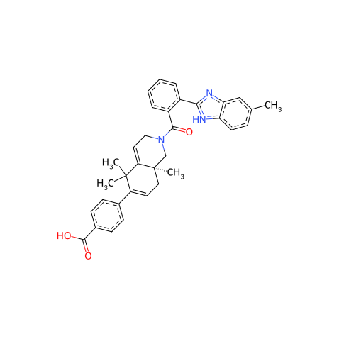 Cc1ccc2[nH]c(-c3ccccc3C(=O)N3CC=C4C(C)(C)C(c5ccc(C(=O)O)cc5)=CC[C@]4(C)C3)nc2c1